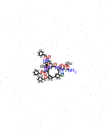 CC(C)(C)OC(=O)[C@H](CC(N)=O)NC(=O)[C@@H]1Cc2cc(ccc2Cl)-c2ccc(OCc3ccccc3)c(c2)C[C@H](NC(=O)OCc2ccccc2)C(=O)N[C@@H](C[C@H](CNC(=O)OCc2ccccc2)O[Si](C)(C)C(C)(C)C)C(=O)N1